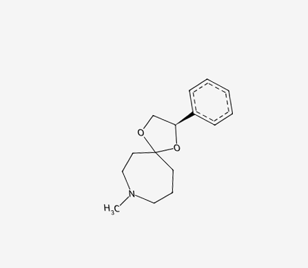 CN1CCCC2(CC1)OC[C@@H](c1ccccc1)O2